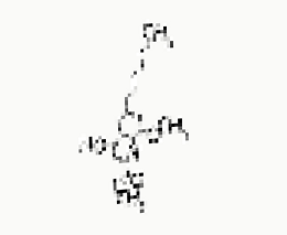 CCCCCCCc1cc(OC)c2nc(C(=O)OC)cc(O)c2c1